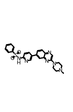 CN1CCN(c2cnc3ccc(-c4ccc(NS(=O)(=O)c5ccccc5)nc4)cc3n2)CC1